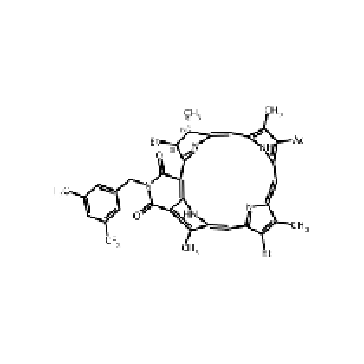 CCC1=C(C)c2cc3[nH]c(cc4nc(c5c6[nH]c(cc1n2)c(C)c6C(=O)N(Cc1cc(C(F)(F)F)cc(C(F)(F)F)c1)C5=O)[C@@H](CC)[C@@H]4C)c(C)c3C(C)=O